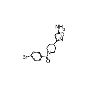 Nc1cc(C2CCN(C(=O)c3ccc(Br)cc3)CC2)no1